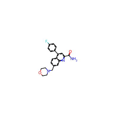 NC(=O)c1cc(-c2ccc(F)cc2)c2ccc(CN3CCOCC3)cc2n1